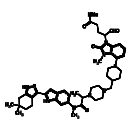 CNC(=O)CCC(C=O)n1c(=O)n(C)c2c(N3CCC(CN4CCN(C(C)C(=O)N(C)c5ccc6cc(-c7n[nH]c8c7CCC(C)(C)C8)[nH]c6c5)CC4)CC3)cccc21